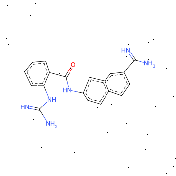 N=C(N)Nc1ccccc1C(=O)Nc1ccc2ccc(C(=N)N)cc2c1